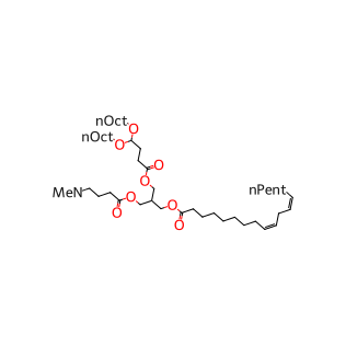 CCCCC/C=C\C/C=C\CCCCCCCC(=O)OCC(COC(=O)CCCNC)COC(=O)CCC(OCCCCCCCC)OCCCCCCCC